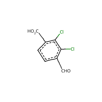 O=Cc1ccc(C(=O)O)c(Cl)c1Cl